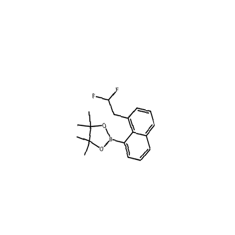 CC1(C)OB(c2cccc3cccc(CC(F)F)c23)OC1(C)C